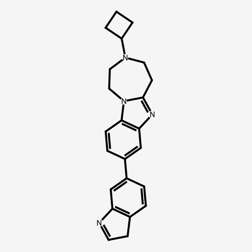 C1=Nc2cc(-c3ccc4c(c3)nc3n4CCN(C4CCC4)CC3)ccc2C1